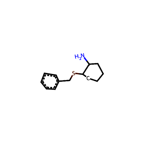 N[C]1CCCCC1SCc1ccccc1